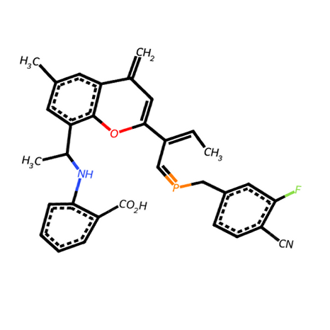 C=C1C=C(C(/C=P\Cc2ccc(C#N)c(F)c2)=C/C)Oc2c1cc(C)cc2C(C)Nc1ccccc1C(=O)O